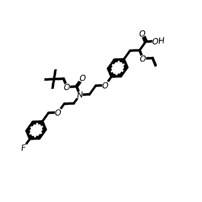 CCOC(Cc1ccc(OCCN(CCOCc2ccc(F)cc2)C(=O)OCC(C)(C)C)cc1)C(=O)O